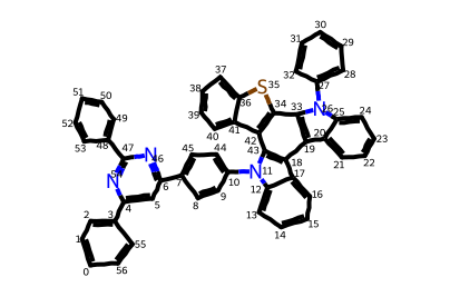 c1ccc(-c2cc(-c3ccc(-n4c5ccccc5c5c6c7ccccc7n(-c7ccccc7)c6c6sc7ccccc7c6c54)cc3)nc(-c3ccccc3)n2)cc1